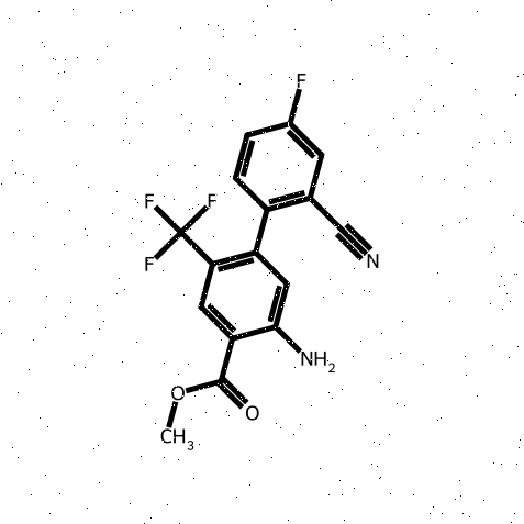 COC(=O)c1cc(C(F)(F)F)c(-c2ccc(F)cc2C#N)cc1N